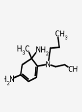 CCCN(CCC)C1=CC=C(N)CC1(C)N